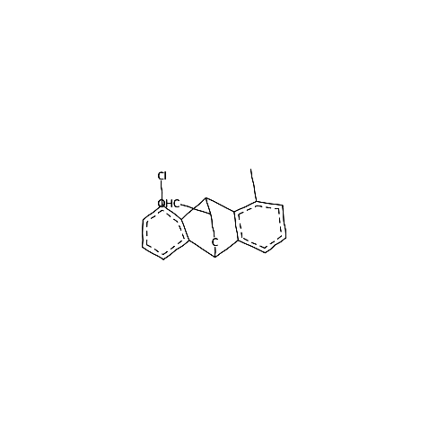 Cc1cccc2c1C1c3c(Cl)cccc3C2CC1C=O